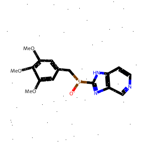 COc1cc(C[S+]([O-])c2nc3cnccc3[nH]2)cc(OC)c1OC